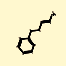 CCC/C=C/CCc1ccccc1